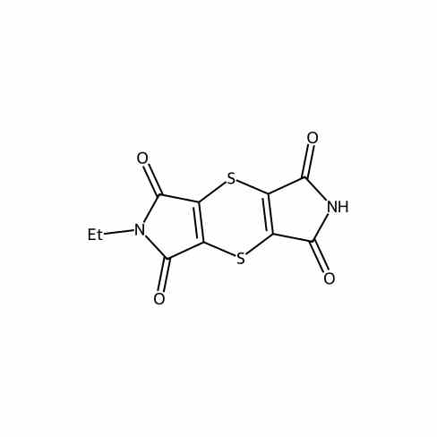 CCn1c(=O)c2sc3c(=O)[nH]c(=O)c3sc2c1=O